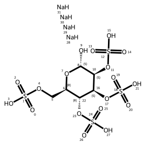 O=S(=O)(O)OC[C@H]1O[C@H](O)[C@@H](OS(=O)(=O)O)[C@@H](OS(=O)(=O)O)[C@@H]1OS(=O)(=O)O.[NaH].[NaH].[NaH].[NaH]